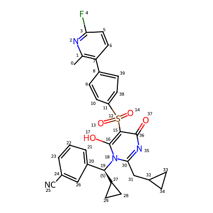 Cc1nc(F)ccc1-c1ccc(S(=O)(=O)c2c(O)n([C@H](c3cccc(C#N)c3)C3CC3)c(CC3CC3)nc2=O)cc1